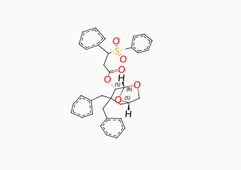 O=C(CC(c1ccccc1)S(=O)(=O)c1ccccc1)O[C@@H]1[C@@H]2OC[C@H](CC1(Cc1ccccc1)Cc1ccccc1)O2